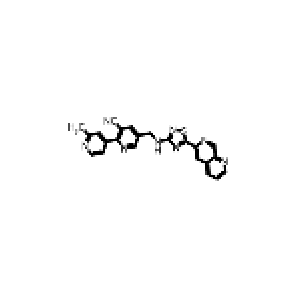 Cc1cc(-c2ncc(CNc3nsc(-c4cc5cccnc5cn4)n3)cc2C#N)ccn1